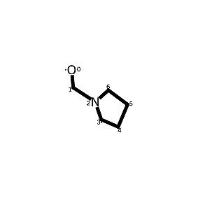 [O]CN1[CH]CCC1